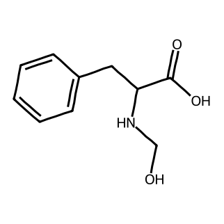 O=C(O)C(Cc1ccccc1)NCO